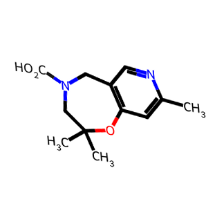 Cc1cc2c(cn1)CN(C(=O)O)CC(C)(C)O2